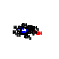 C=Cc1c(C)c2cc3nc(c(C)c4cc(C)c(cc5nc(cc1[nH]2)C(C)=C5CC)[nH]4)[C@H](C(C)C(=O)N(C)CCOCCO)[C@@H]3C